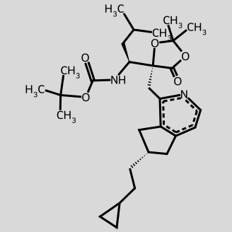 CC(C)C[C@H](NC(=O)OC(C)(C)C)[C@@]1(Cc2nccc3c2C[C@@H](CCC2CC2)C3)OC(C)(C)OC1=O